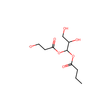 CCCC(=O)OC(OC(=O)CC[O])C(O)CO